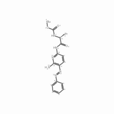 CC(C)[C@H](NC(=O)OC(C)(C)C)C(=O)Nc1ccc(N=Nc2ccccc2)c(N)n1